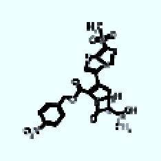 C[C@@H](O)[C@H]1C(=O)N2C(C(=O)OCc3ccc([N+](=O)[O-])cc3)=C(c3csc4c(S(C)(=O)=O)ncn34)C[C@H]12